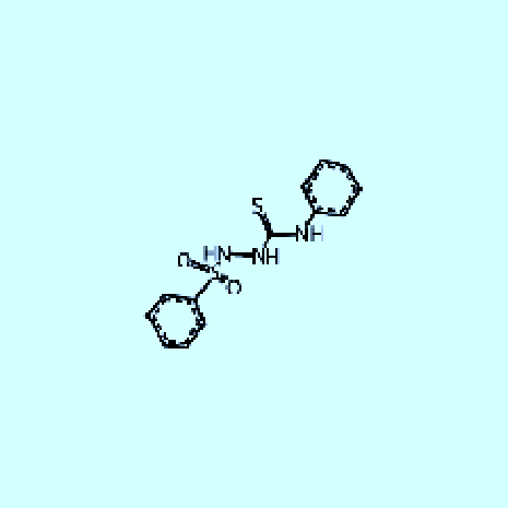 O=S(=O)(NNC(=S)Nc1ccccc1)c1ccccc1